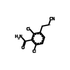 N#C[CH]Cc1ccc(Cl)c(C(N)=O)c1Cl